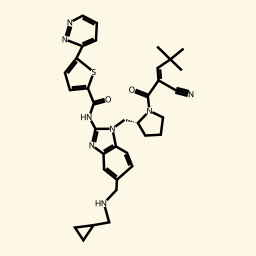 CC(C)(C)C=C(C#N)C(=O)N1CCC[C@@H]1Cn1c(NC(=O)c2ccc(-c3cccnn3)s2)nc2cc(CNCC3CC3)ccc21